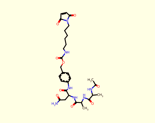 CC(=O)NC(C)C(=O)NC(C)C(=O)NC(CC(N)=O)C(=O)Nc1ccc(COC(=O)NCCCCCCN2C(=O)C=CC2=O)cc1